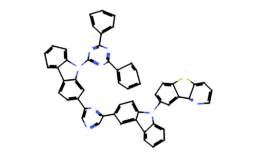 c1ccc(-c2nc(-c3ccccc3)nc(-n3c4ccccc4c4ccc(-c5cncc(-c6ccc7c(c6)c6ccccc6n7-c6ccc7sc8cccnc8c7c6)n5)cc43)n2)cc1